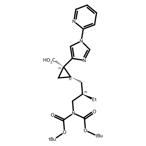 CC[C@H](C[C@@H]1C[C@@]1(C(=O)O)c1cn(-c2ccccn2)cn1)CN(C(=O)OC(C)(C)C)C(=O)OC(C)(C)C